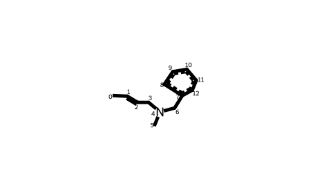 CC=CCN(C)Cc1ccccc1